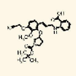 C#CCOc1ccc(/C=C/CNc2ccccc2C(=O)O)c(OC2CCN(C(=O)OC(C)(C)C)C2)c1OC